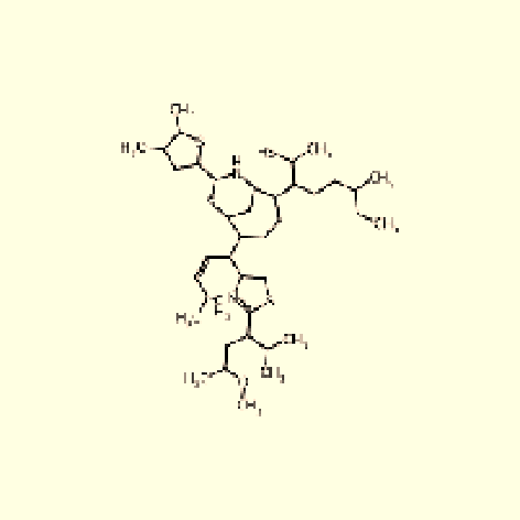 CCC(C)CCC(C(C)S)[C@H]1CCC(C(/C=C\C(C)C)C2CSC(C(CC(C)OC)C(C)C)=N2)C2CC1NC(C1CC(C)C(C)S1)S2